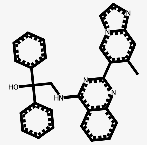 Cc1cc2nccn2cc1-c1nc(NCC(O)(c2ccccc2)c2ccccc2)c2ccccc2n1